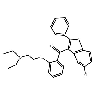 CCN(CC)CCOc1ccccc1C(=O)c1c(-c2ccccc2)oc2ccc(Cl)cc12